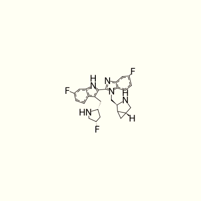 Fc1ccc2c(c1)nc(-c1[nH]c3cc(F)ccc3c1C[C@@H]1C[C@H](F)CN1)n2C[C@H]1NC[C@@H]2CC21